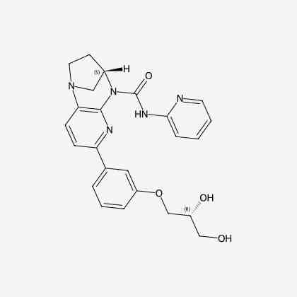 O=C(Nc1ccccn1)N1c2nc(-c3cccc(OC[C@H](O)CO)c3)ccc2N2CC[C@H]1C2